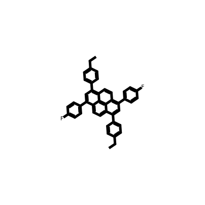 CCc1ccc(-c2cc(-c3ccc(F)cc3)c3ccc4c(-c5ccc(CC)cc5)cc(-c5ccc(F)cc5)c5ccc2c3c54)cc1